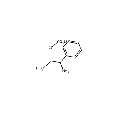 CCOC(=O)Cl.NC(CC(=O)O)c1ccccc1